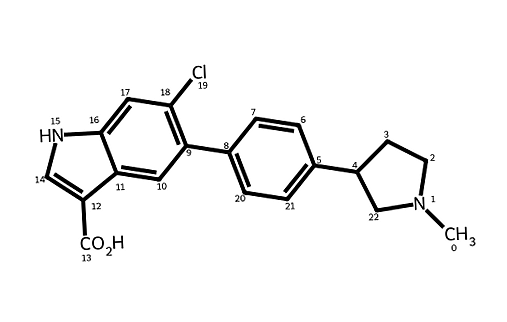 CN1CCC(c2ccc(-c3cc4c(C(=O)O)c[nH]c4cc3Cl)cc2)C1